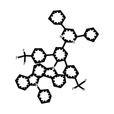 FC(F)(F)c1ccc(-c2cc(-c3nc(-c4ccccc4)cc(-c4ccccc4)n3)cc(-c3ccc(C(F)(F)F)cc3)c2-n2c3ccccc3c3c2ccc2c4ccccc4n(-c4ccccc4)c23)cc1